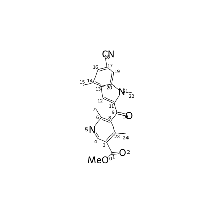 COC(=O)c1cnc(C)c(C(=O)c2cc3c(C)cc(C#N)cc3n2C)c1C